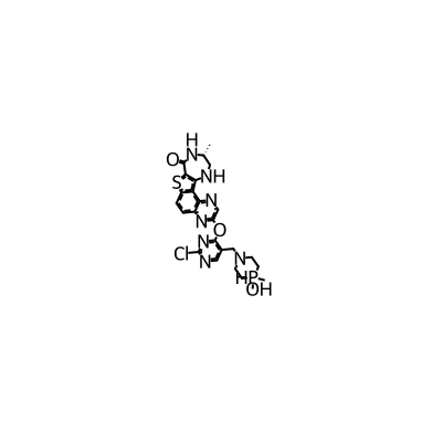 C[C@@H]1CNc2c(sc3ccc4nc(Oc5nc(Cl)ncc5CN5CC[PH](C)(O)CC5)cnc4c23)C(=O)N1